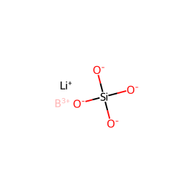 [B+3].[Li+].[O-][Si]([O-])([O-])[O-]